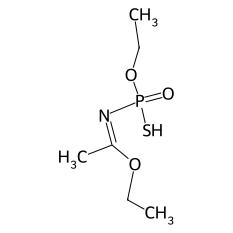 CCO/C(C)=N\P(=O)(S)OCC